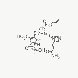 C=CCOC(=O)N1C[C@@H](SC2=C(C(=O)O)N3C(=O)[C@H]([C@@H](C)O)[C@H]3[C@H]2C)C[C@H]1CCn1cncc1C=CC(N)=O